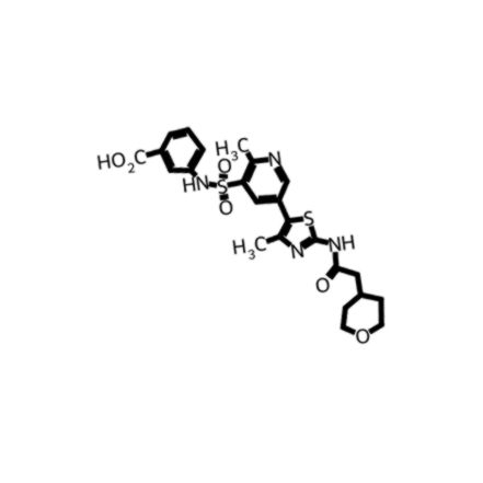 Cc1ncc(-c2sc(NC(=O)CC3CCOCC3)nc2C)cc1S(=O)(=O)Nc1cccc(C(=O)O)c1